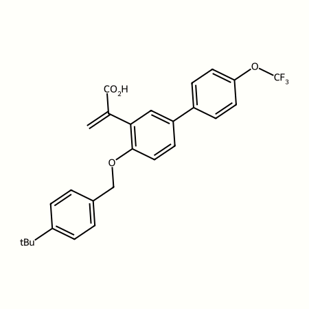 C=C(C(=O)O)c1cc(-c2ccc(OC(F)(F)F)cc2)ccc1OCc1ccc(C(C)(C)C)cc1